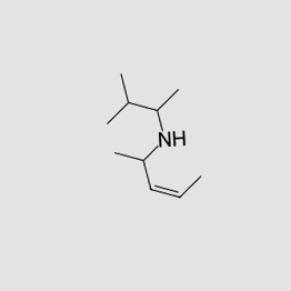 C/C=C\C(C)NC(C)C(C)C